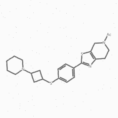 CC(=O)N1CCc2nc(-c3ccc(SC4CC(N5CCCCC5)C4)cc3)sc2C1